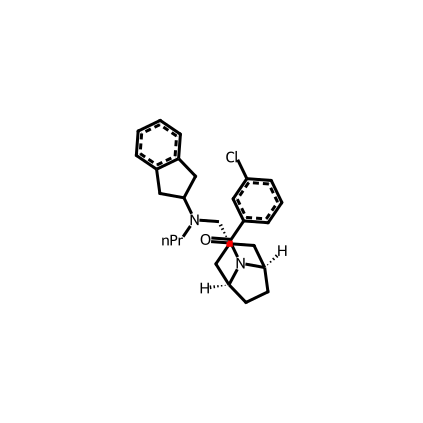 CCCN(C[C@@H]1C[C@H]2CC[C@@H](C1)N2C(=O)c1cccc(Cl)c1)C1Cc2ccccc2C1